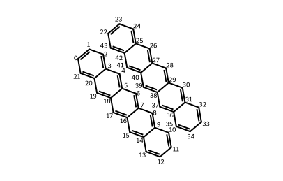 c1ccc2cc3cc4cc5ccccc5cc4cc3cc2c1.c1ccc2cc3cc4cc5ccccc5cc4cc3cc2c1